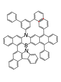 c1ccc(-c2cc(-c3ccccc3)cc(N3c4cc5c(-c6ccccc6)c6ccccc6c(-c6ccccc6)c5cc4B4c5c3cc3ccccc3c5-c3cc5ccccc5c5c6ccccc6n4c35)c2)cc1